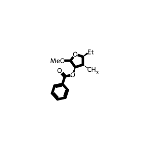 CC[C@@H]1OC(OC)[C@H](OC(=O)c2ccccc2)[C@H]1C